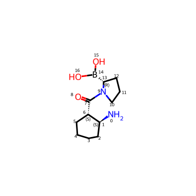 N[C@H]1CCCC[C@@H]1C(=O)N1CCC[C@H]1B(O)O